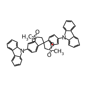 CS(=O)(=O)CC(CS(C)(=O)=O)(c1ccc(-n2c3ccccc3c3ccccc32)cc1)c1ccc(-n2c3ccccc3c3ccccc32)cc1